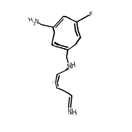 N=C/C=C\Nc1cc(N)cc(F)c1